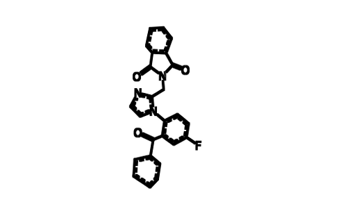 O=C(c1ccccc1)c1cc(F)ccc1-n1ccnc1CN1C(=O)c2ccccc2C1=O